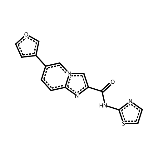 O=C(Nc1nccs1)c1cn2cc(-c3ccoc3)ccc2n1